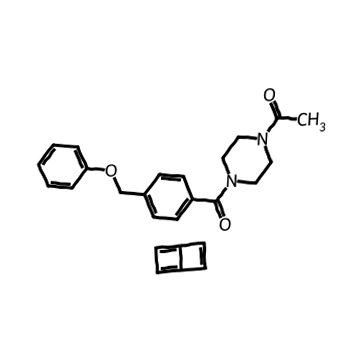 CC(=O)N1CCN(C(=O)c2ccc(COc3ccccc3)cc2)CC1.c1cc2ccc1-2